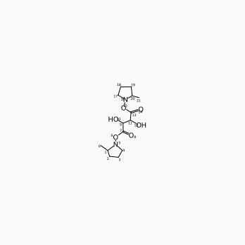 CC1CCCN1OC(=O)C(O)C(O)C(=O)ON1CCCC1C